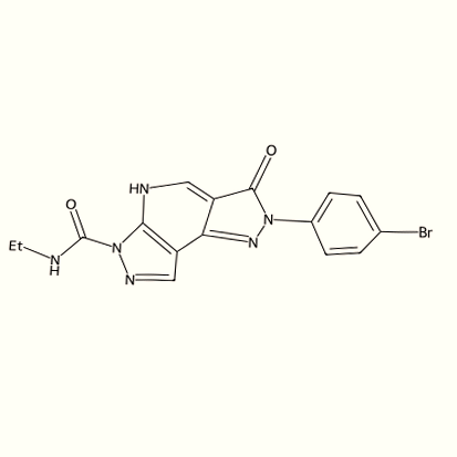 CCNC(=O)n1ncc2c3nn(-c4ccc(Br)cc4)c(=O)c-3c[nH]c21